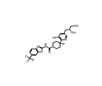 O=C(Nc1nc2ccc(C(F)(F)F)cc2s1)N1CCC(F)(c2ncc(C[C@H](O)CO)cc2Cl)CC1